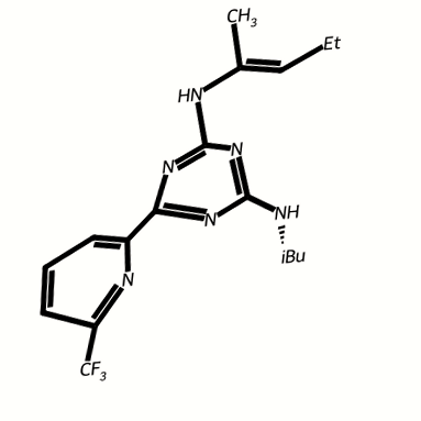 CCC=C(C)Nc1nc(N[C@@H](C)CC)nc(-c2cccc(C(F)(F)F)n2)n1